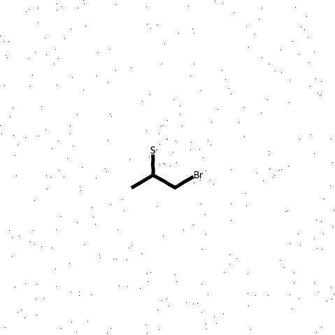 CC([S])CBr